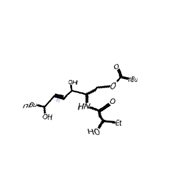 CCCCC(=O)OCC(NC(=O)C(O)CC)C(O)/C=C/C(O)CCCC